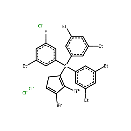 CCc1cc(CC)cc([Si](C2=[C]([Ti+3])C(C(C)C)=CC2)(c2cc(CC)cc(CC)c2)c2cc(CC)cc(CC)c2)c1.[Cl-].[Cl-].[Cl-]